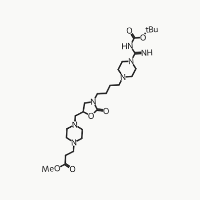 COC(=O)CCN1CCN(CC2CN(CCCCN3CCN(C(=N)NC(=O)OC(C)(C)C)CC3)C(=O)O2)CC1